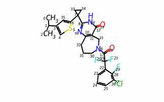 CC(C)c1csc(C2(c3nc4c(c(=O)[nH]3)CN(C(=O)C(F)(F)c3cccc(Cl)c3F)CCC4)CC2)c1